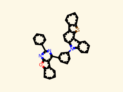 c1ccc(-c2nc(-c3cccc(-n4c5ccccc5c5c6sc7ccccc7c6ccc54)c3)c3c(n2)oc2ccccc23)cc1